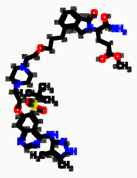 COC(=O)CCC(C(N)=O)N1Cc2c(CCCOCCN3CCN(CCOc4cc5ncnc(Nc6n[nH]c(C)c6C)c5cc4S(=O)(=O)C(C)(C)C)CC3)cccc2C1=O